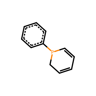 C1=CCP(c2ccccc2)C=C1